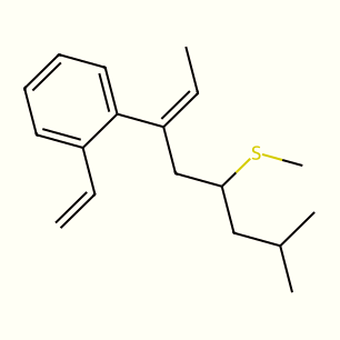 C=Cc1ccccc1/C(=C\C)CC(CC(C)C)SC